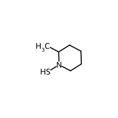 CC1CCCCN1S